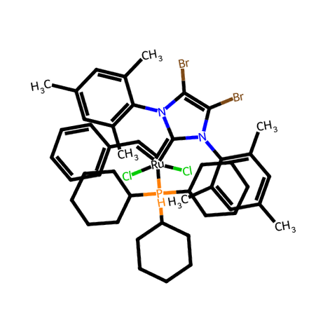 Cc1cc(C)c(-n2c(Br)c(Br)n(-c3c(C)cc(C)cc3C)[c]2=[Ru]([Cl])([Cl])(=[CH]c2ccccc2)[PH](C2CCCCC2)(C2CCCCC2)C2CCCCC2)c(C)c1